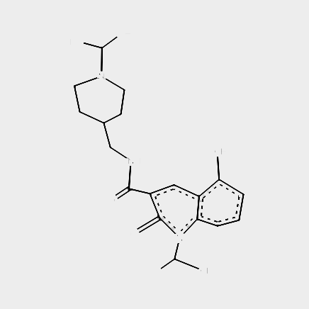 Cc1cccc2c1cc(C(=O)NCC1CCN(C(C)C)CC1)c(=O)n2C(C)C